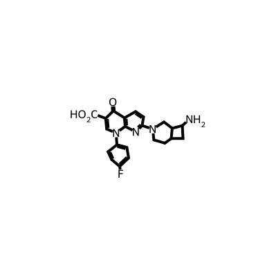 NC1CC2CCN(c3ccc4c(=O)c(C(=O)O)cn(-c5ccc(F)cc5)c4n3)CC12